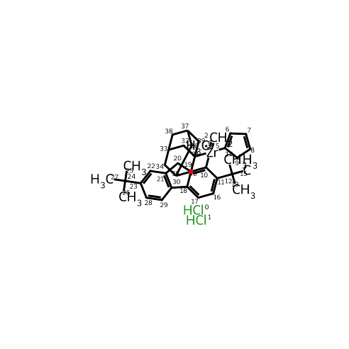 Cl.Cl.[CH2]=[Zr]([CH3])([C]1=CC=CC1)([c]1c(C(C)(C)C)ccc2c1Cc1cc(C(C)(C)C)ccc1-2)[C]12CC3CC(CC(C3)C1)C2